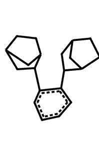 c1ccc(C2CC3CCC2C3)c(C2CC3CCC2C3)c1